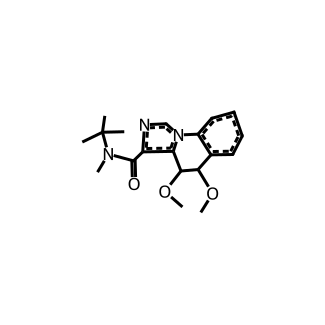 COC1c2ccccc2-n2cnc(C(=O)N(C)C(C)(C)C)c2C1OC